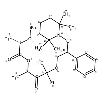 CCC(C)O[C@@H](C)C(=O)OC(C)C(=O)C(C)(CC)OCC(ON1C(C)(C)CCCC1(C)C)c1ccccc1